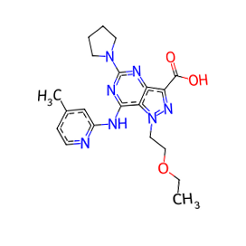 CCOCCn1nc(C(=O)O)c2nc(N3CCCC3)nc(Nc3cc(C)ccn3)c21